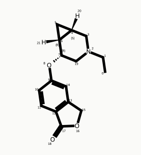 CCN1C[C@H]2C[C@H]2[C@@H](Oc2ccc3c(c2)COC3=O)C1